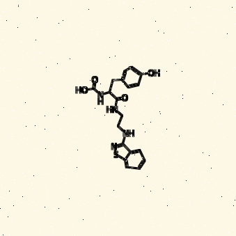 O=C(O)NC(Cc1ccc(O)cc1)C(=O)NCCNc1nsc2ccccc12